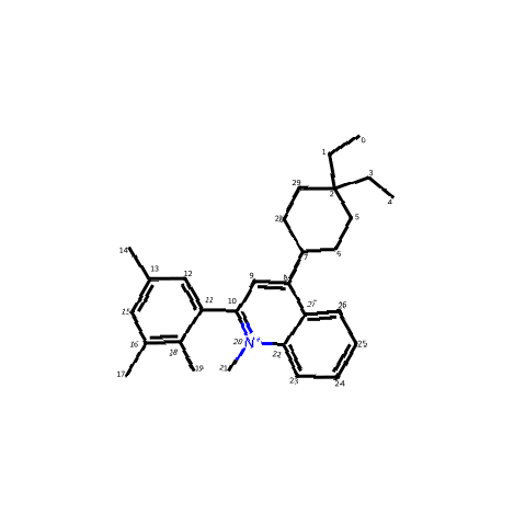 CCC1(CC)CCC(c2cc(-c3cc(C)cc(C)c3C)[n+](C)c3ccccc23)CC1